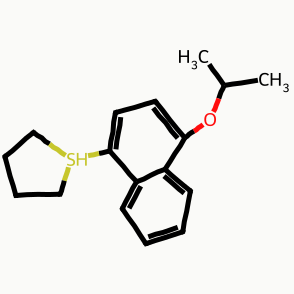 CC(C)Oc1ccc([SH]2CCCC2)c2ccccc12